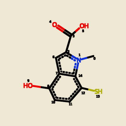 Cn1c(C(=O)O)cc2c(O)ccc(S)c21